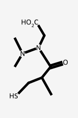 CC(CS)C(=O)N(CC(=O)O)N(C)C